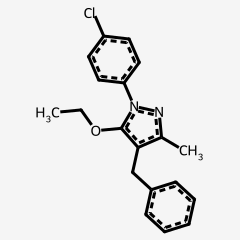 CCOc1c(Cc2ccccc2)c(C)nn1-c1ccc(Cl)cc1